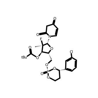 CC(C)(C)C(=O)O[C@@H]1[C@@H](CO[P@@]2(=O)OCC[C@@H](c3cccc(Cl)c3)O2)O[C@@H](N2C=CC(=O)CC2=O)[C@]1(C)F